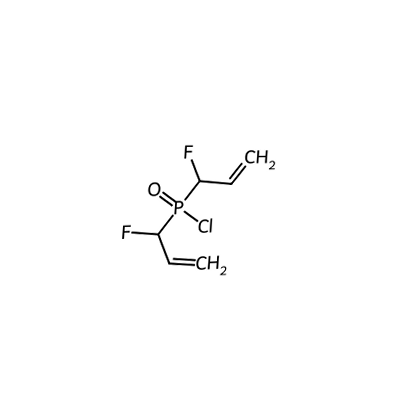 C=CC(F)P(=O)(Cl)C(F)C=C